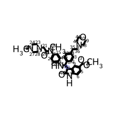 COC(=O)c1ccc2c(c1)/C(=C(/Nc1ccc(N(C)C(=O)CN3CCN(C)CC3)cc1)c1ccc(CCN3CCOCC3)cc1)C(=O)N2